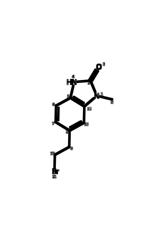 Cn1c(=O)[nH]c2ccc(CCBr)cc21